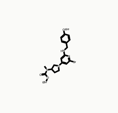 COc1ccc(CNc2cc(N3CCC(N(C)C(=O)OC(C)(C)C)C3)cc(Br)n2)cc1